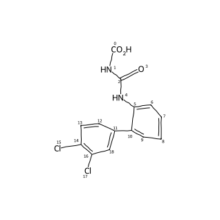 O=C(O)NC(=O)Nc1ccccc1-c1ccc(Cl)c(Cl)c1